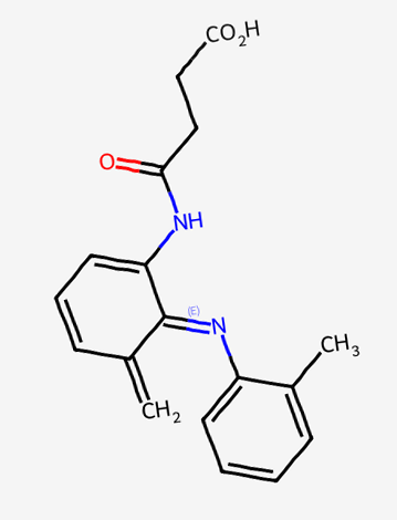 C=C1C=CC=C(NC(=O)CCC(=O)O)/C1=N/c1ccccc1C